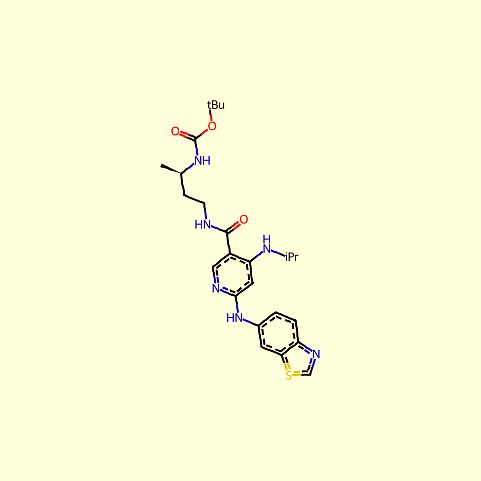 CC(C)Nc1cc(Nc2ccc3ncsc3c2)ncc1C(=O)NCC[C@@H](C)NC(=O)OC(C)(C)C